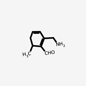 CC1CC=CC(CN)=C1C=O